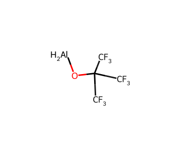 FC(F)(F)C([O][AlH2])(C(F)(F)F)C(F)(F)F